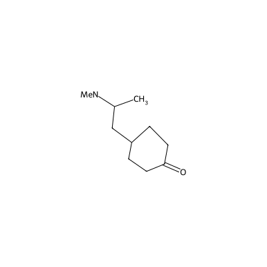 CNC(C)CC1CCC(=O)CC1